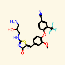 COc1cc(/C=C2\SC(NCC(O)CN)=NC2=O)ccc1Oc1ccc(C#N)cc1C(F)(F)F